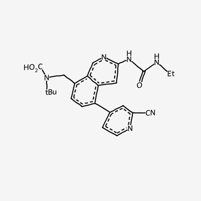 CCNC(=O)Nc1cc2c(-c3ccnc(C#N)c3)ccc(CN(C(=O)O)C(C)(C)C)c2cn1